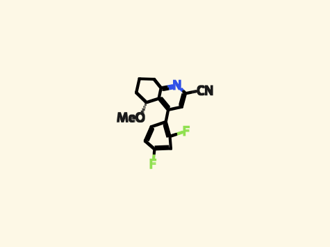 CO[C@@H]1CCCc2nc(C#N)cc(-c3ccc(F)cc3F)c21